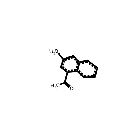 Bc1cc(C(C)=O)c2ccccc2c1